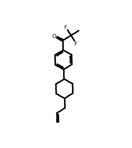 C=CCC1CCC(c2ccc(C(=O)C(C)(F)F)cc2)CC1